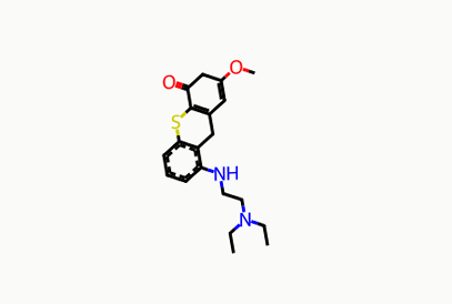 CCN(CC)CCNc1cccc2c1CC1=C(S2)C(=O)CC(OC)=C1